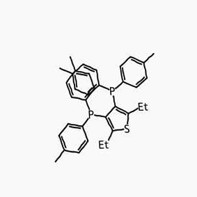 CCc1sc(CC)c(P(c2ccc(C)cc2)c2ccc(C)cc2)c1P(c1ccc(C)cc1)c1ccc(C)cc1